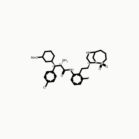 COC1CCCC([C@H](c2ccc(Cl)cc2)[C@H](N)C(=O)Nc2cccc(F)c2CC[C@H]2CNC3CCCS(=O)(=O)N2C3)C1